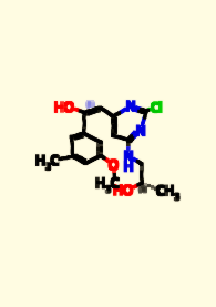 COc1cc(C)cc(/C(O)=C\c2cc(NC[C@H](C)O)nc(Cl)n2)c1